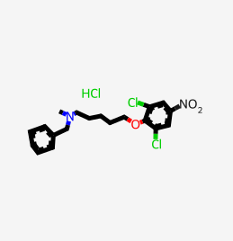 CN(CCCCCOc1c(Cl)cc([N+](=O)[O-])cc1Cl)Cc1ccccc1.Cl